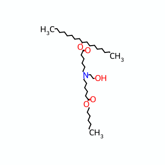 CCCCCCCCC(CCCCCCCC)OC(=O)CCCCCN(CCO)CCCCCC(=O)OCCCCCCC